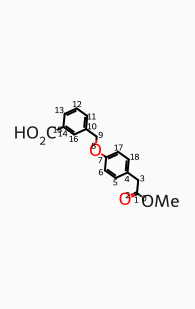 COC(=O)Cc1ccc(OCc2cccc(C(=O)O)c2)cc1